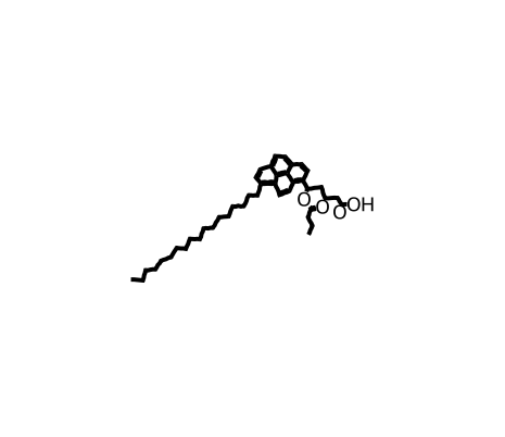 CCCCCCCCCCCCCCCCCCc1ccc2ccc3ccc(C(CCCC(=O)O)OC(=O)CCC)c4ccc1c2c34